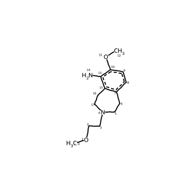 COCCN1CCc2ccc(OC)c(N)c2CC1